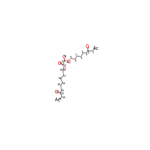 CC(=O)CC(=O)CCCCCCOC(=O)C(=O)OCCCCCCC(=O)CC(C)=O